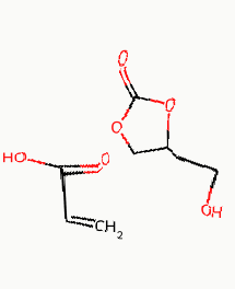 C=CC(=O)O.O=C1OCC(CO)O1